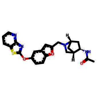 CC(=O)N[C@H]1C[C@@H]2C[C@H]1CN2Cc1cc2cc(Oc3nc4ncccc4s3)ccc2o1